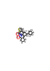 O=c1c2ccccc2c2cc(-c3ccccc3)cc3c4ccsc4c(=O)n1c23